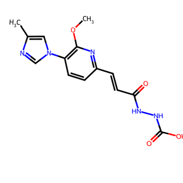 COc1nc(C=CC(=O)NNC(=O)O)ccc1-n1cnc(C)c1